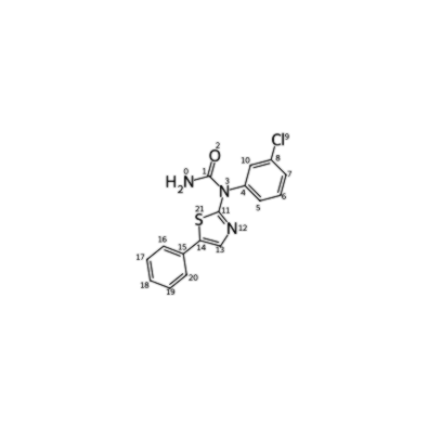 NC(=O)N(c1cccc(Cl)c1)c1ncc(-c2ccccc2)s1